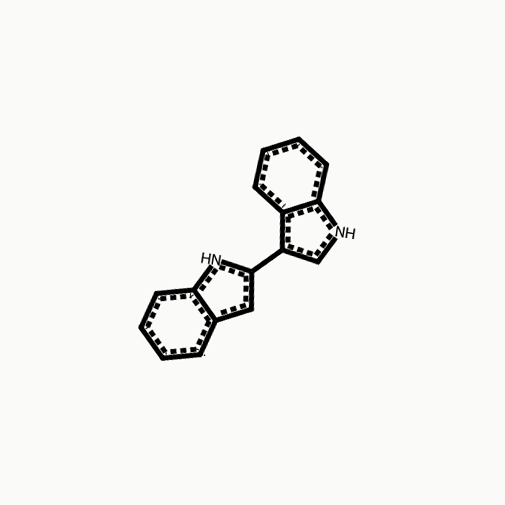 [c]1cccc2[nH]c(-c3c[nH]c4ccccc34)cc12